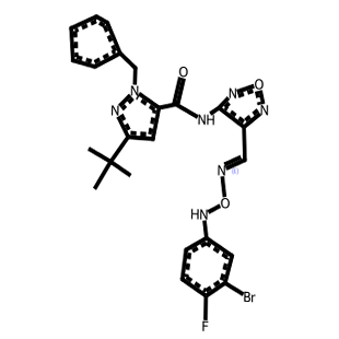 CC(C)(C)c1cc(C(=O)Nc2nonc2/C=N/ONc2ccc(F)c(Br)c2)n(Cc2ccccc2)n1